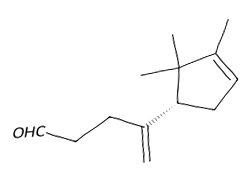 C=C(CCC=O)[C@H]1CC=C(C)C1(C)C